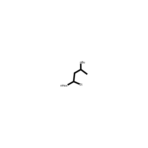 CCCCCCC(CC)CC(C)CCCC